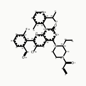 C=CC(=O)N1CCN(c2nc(=O)n(-c3c(C)ccnc3C(C)C)c3nc(-c4c(F)cccc4C=O)c(Cl)cc23)[C@@H](CC)C1